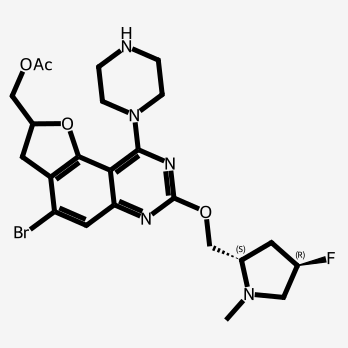 CC(=O)OCC1Cc2c(Br)cc3nc(OC[C@@H]4C[C@@H](F)CN4C)nc(N4CCNCC4)c3c2O1